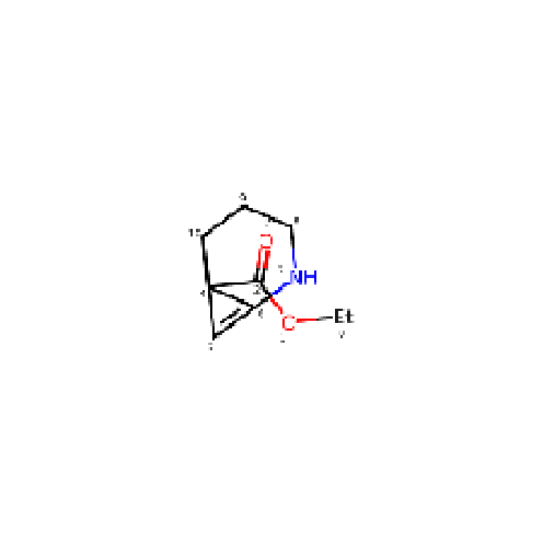 CCOC(=O)C12C=C1NCCC2